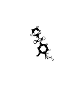 Cc1cc(S(=O)(=O)c2nccs2)ccc1N